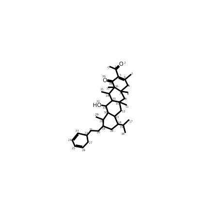 CC(=O)C1=C(C)CC2(C)CC3(C)CC4C(C(C)C)CC(CCC5C=CC=CC5)C(C)C4C(O)C3C(C)C2(C)C1=O